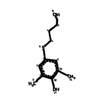 Cc1cc(SCCCO)cc(C)c1O